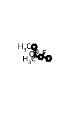 Cc1cccc(OC(=O)[C@H](C)c2ccc(-c3ccccc3)c(F)c2)c1